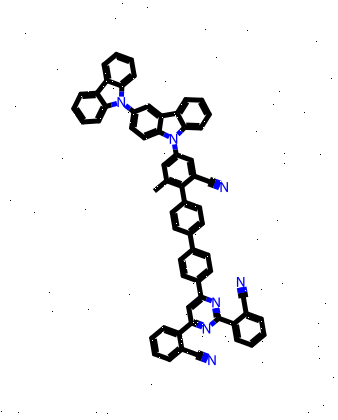 Cc1cc(-n2c3ccccc3c3cc(-n4c5ccccc5c5ccccc54)ccc32)cc(C#N)c1-c1ccc(-c2ccc(-c3cc(-c4ccccc4C#N)nc(-c4ccccc4C#N)n3)cc2)cc1